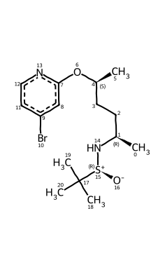 C[C@H](CC[C@H](C)Oc1cc(Br)ccn1)N[S@@+]([O-])C(C)(C)C